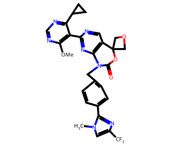 COc1ncnc(C2CC2)c1-c1ncc2c(n1)N(Cc1ccc(-c3nc(C(F)(F)F)cn3C)cc1)C(=O)OC21COC1